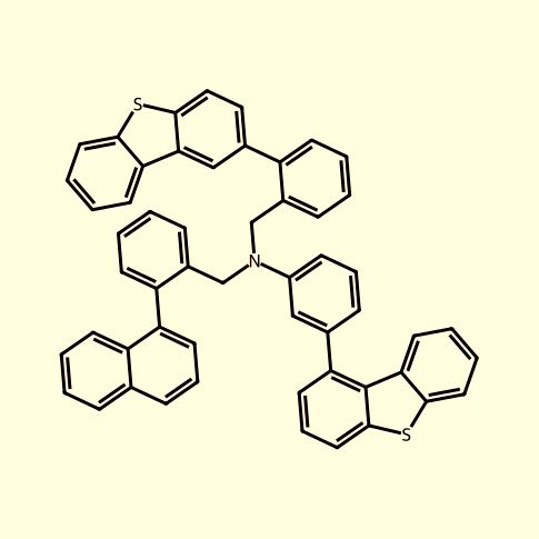 c1cc(-c2cccc3sc4ccccc4c23)cc(N(Cc2ccccc2-c2ccc3sc4ccccc4c3c2)Cc2ccccc2-c2cccc3ccccc23)c1